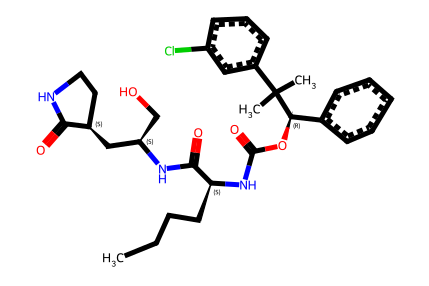 CCCC[C@H](NC(=O)O[C@H](c1ccccc1)C(C)(C)c1cccc(Cl)c1)C(=O)N[C@H](CO)C[C@@H]1CCNC1=O